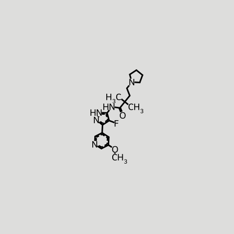 COc1cncc(-c2n[nH]c(NC(=O)C(C)(C)CCN3CCCC3)c2F)c1